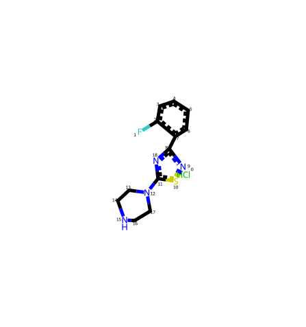 Cl.Fc1ccccc1-c1nsc(N2CCNCC2)n1